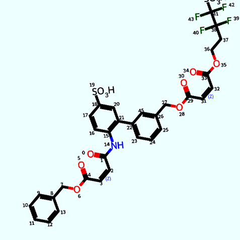 O=C(/C=C\C(=O)OCc1ccccc1)Nc1ccc(S(=O)(=O)O)cc1-c1cccc(COC(=O)/C=C\C(=O)OCCC(F)(F)C(F)(F)S(=O)(=O)O)c1